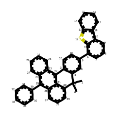 CC1(C)c2cc(-c3cccc4c3sc3ccccc34)ccc2-c2c3ccccc3c(-c3ccccc3)c3cccc1c23